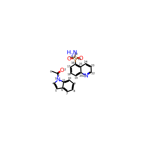 CC(=O)n1ccc2ccccc21.NS(=O)(=O)c1cccc2ncccc12